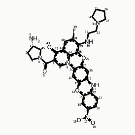 N[C@H]1CCN(C(=O)c2cn3c4cc5oc6cc([N+](=O)[O-])ccc6[nH]c5cc4oc4c(NCCN5CCCC5)c(F)cc(c2=O)c43)C1